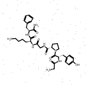 NCCCC[C@H](NC(=O)CNC(=O)[C@@H]1CCCN1C(=O)[C@H](Cc1ccc(O)cc1)NC(=O)CN)C(=O)N[C@@H](Cc1ccccc1)C(N)=O